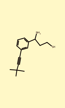 CC(C)(C)C#Cc1cccc(C(N)CCS)c1